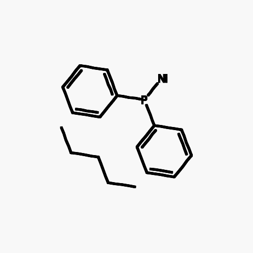 CCCCC.[Ni][P](c1ccccc1)c1ccccc1